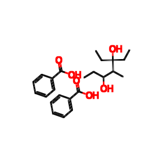 CCC(O)C(C)C(O)(CC)CC.O=C(O)c1ccccc1.O=C(O)c1ccccc1